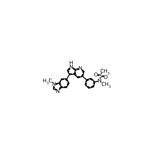 CN(c1cccc(-c2cnc3[nH]cc(-c4ccc5ncn(C)c5c4)c3c2)c1)S(C)(=O)=O